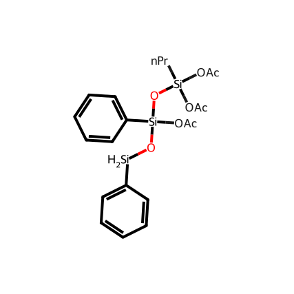 CCC[Si](OC(C)=O)(OC(C)=O)O[Si](O[SiH2]c1ccccc1)(OC(C)=O)c1ccccc1